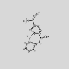 N#CC(N)c1ccc2c(c1)Sc1ccccc1CC2=O